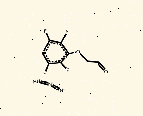 O=CCOc1c(F)c(F)cc(F)c1F.[N-]=[N+]=N